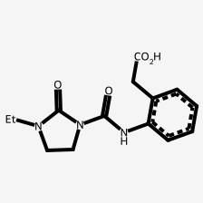 CCN1CCN(C(=O)Nc2ccccc2CC(=O)O)C1=O